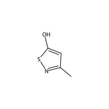 Cc1cc(O)sn1